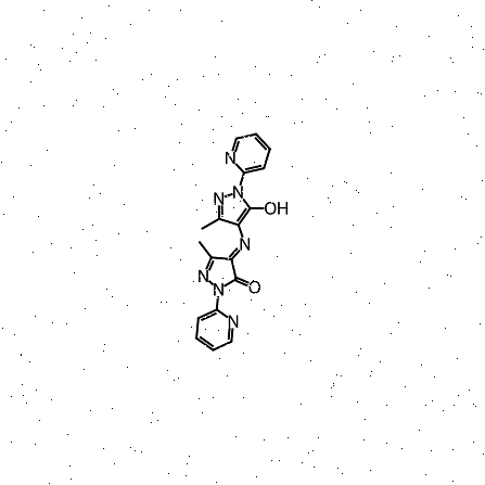 CC1=NN(c2ccccn2)C(=O)/C1=N/c1c(C)nn(-c2ccccn2)c1O